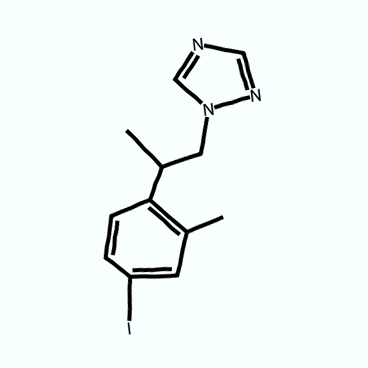 Cc1cc(I)ccc1C(C)Cn1cncn1